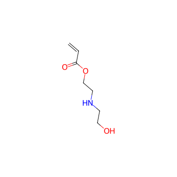 C=CC(=O)OCCNCCO